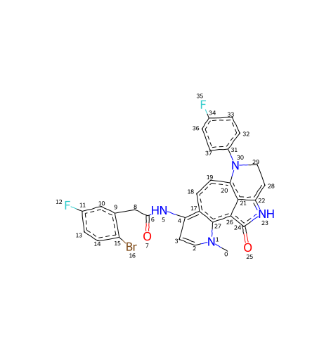 CN1C=CC(NC(=O)Cc2cc(F)ccc2Br)=c2ccc3c4c([nH]c(=O)c-4c21)=CCN3c1ccc(F)cc1